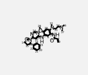 C=CC(=O)Nc1cc(Nc2cc(N3OCC[C@H]3c3ccccc3)ncn2)c(OC)cc1N(C)CCN(C)C